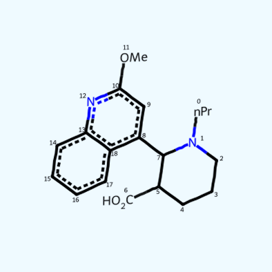 CCCN1CCCC(C(=O)O)C1c1cc(OC)nc2ccccc12